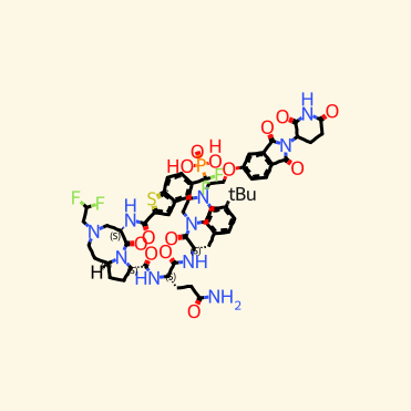 CC(C)(C)c1ccc(C[C@H](NC(=O)[C@H](CCC(N)=O)NC(=O)[C@@H]2CC[C@@H]3CCN(CC(F)F)C[C@H](NC(=O)c4cc5cc(C(F)(F)P(=O)(O)O)ccc5s4)C(=O)N32)C(=O)N2CCN(CCOc3ccc4c(c3)C(=O)N(C3CCC(=O)NC3=O)C4=O)CC2)cc1